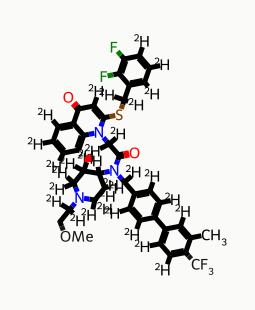 [2H]c1c([2H])c(F)c(F)c(C([2H])([2H])Sc2c([2H])c(=O)c3c([2H])c([2H])c([2H])c([2H])c3n2C([2H])([2H])C(=O)N(C([2H])([2H])c2c([2H])c([2H])c(-c3c([2H])c([2H])c(C(F)(F)F)c(C)c3[2H])c([2H])c2[2H])C2([2H])C([2H])([2H])C([2H])([2H])N(C([2H])([2H])COC)C([2H])([2H])C2([2H])[2H])c1[2H]